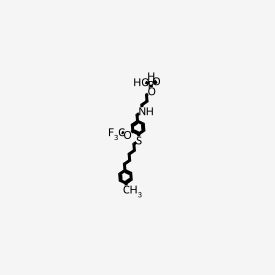 Cc1ccc(CCCCCSc2ccc(CNCCCO[PH](=O)O)cc2OC(F)(F)F)cc1